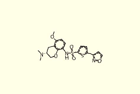 COc1ccc(NS(=O)(=O)c2ccc(-c3ccon3)s2)c2c1C[C@@H](N(C)C)CO2